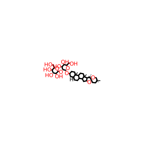 C[C@H]1CCC2(OC1)OC1CC3C4CC[C@@H]5CC(OC6OC(CO)C(O)C(O)C6OC6OC(CO)C(O)C(O)C6O)CC[C@]5(C)C4CC[C@]3(C)C1[C@@H]2C